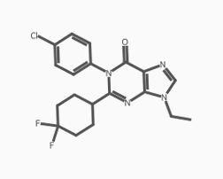 CCn1cnc2c(=O)n(-c3ccc(Cl)cc3)c(C3CCC(F)(F)CC3)nc21